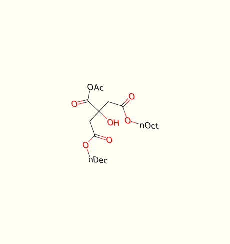 CCCCCCCCCCOC(=O)CC(O)(CC(=O)OCCCCCCCC)C(=O)OC(C)=O